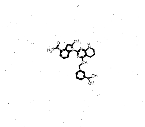 Cc1cc2c(C(N)=O)cccc2n1-c1nc2c(c(NCc3cccc(B(O)O)c3)n1)CCCN2